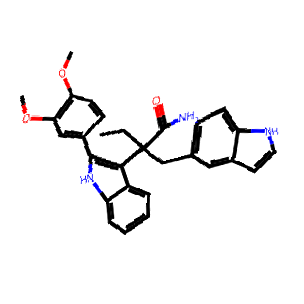 CCC(Cc1ccc2[nH]ccc2c1)(C(N)=O)c1c(-c2ccc(OC)c(OC)c2)[nH]c2ccccc12